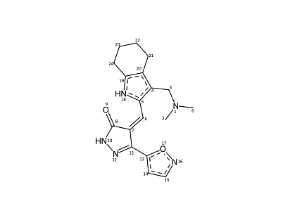 CN(C)Cc1c(C=C2C(=O)NN=C2c2ccno2)[nH]c2c1CCCC2